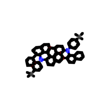 C[Si](C)(C)c1ccc(N(c2c(-c3ccccc3)ccc3ccccc23)c2ccc3ccc4c(N(c5ccc([Si](C)(C)C)cc5)c5c(-c6ccccc6)ccc6ccccc56)ccc5ccc2c3c54)cc1